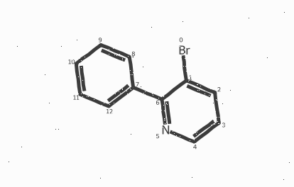 Brc1cccnc1-c1[c]cccc1